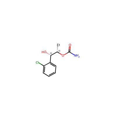 CC[C@H](OC(N)=O)[C@@H](O)c1ccccc1Cl